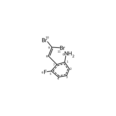 Nc1cccc(F)c1C=C(Br)Br